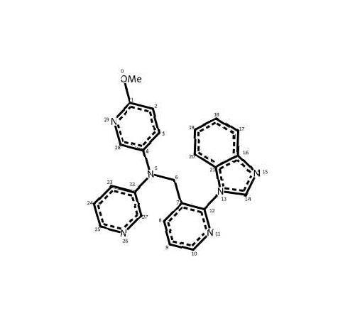 COc1ccc(N(Cc2cccnc2-n2cnc3ccccc32)c2cccnc2)cn1